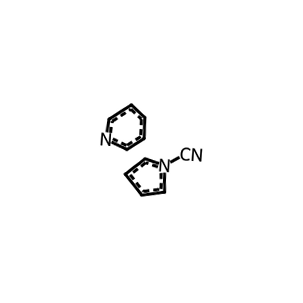 N#Cn1cccc1.c1ccncc1